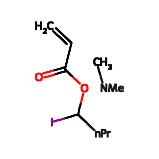 C=CC(=O)OC(I)CCC.CNC